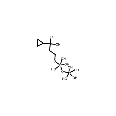 CCC(O)(CCOP(O)(O)(O)OP(O)(O)(O)O)C1CC1